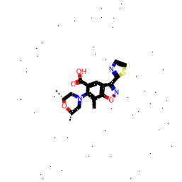 Cc1c(N2C[C@@H](C)O[C@@H](C)C2)c(C(=O)O)cc2c(-c3nccs3)noc12